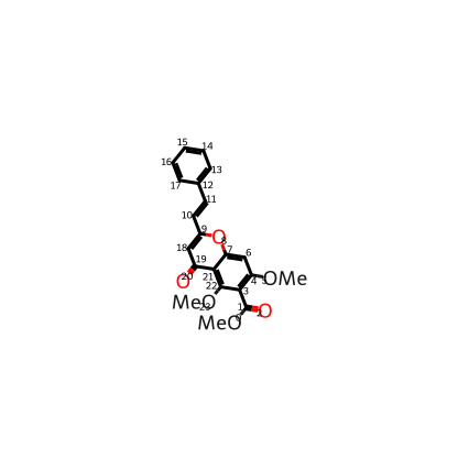 COC(=O)c1c(OC)cc2oc(C=Cc3ccccc3)cc(=O)c2c1OC